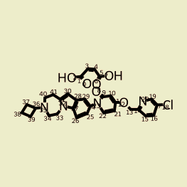 O=C(O)/C=C\C(=O)O.O=c1cc(OCc2ccc(Cl)cn2)ccn1-c1ccc2c(c1)cc1n2CCN(C2CCC2)CC1